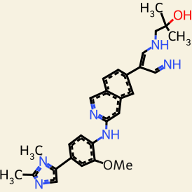 COc1cc(-c2cnc(C)n2C)ccc1Nc1cc2cc(/C(C=N)=C/NCC(C)(C)O)ccc2cn1